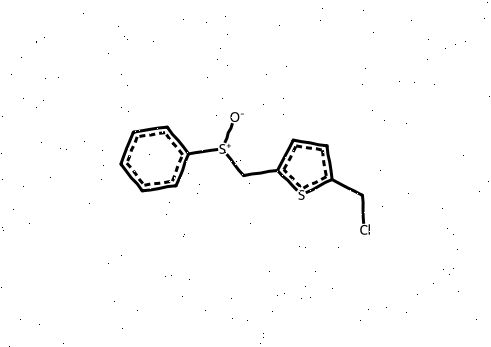 [O-][S+](Cc1ccc(CCl)s1)c1ccccc1